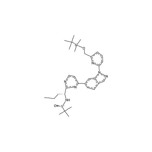 CCC[C@@H](N[S@+]([O-])C(C)(C)C)c1nccc(-c2ccc3cnn(-c4cccc(CO[Si](C)(C)C(C)(C)C)n4)c3c2)n1